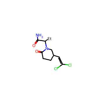 CCC(C(N)=O)N1CC(C=C(Cl)Cl)CCC1=O